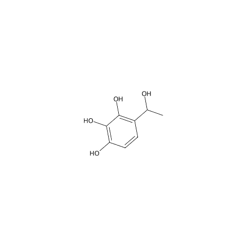 CC(O)c1ccc(O)c(O)c1O